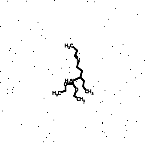 CCC=NCCC(CCC)[SiH2]C(OCC)OCC